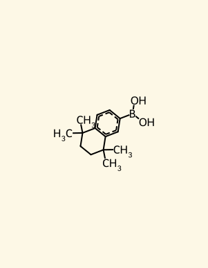 CC1(C)CCC(C)(C)c2cc(B(O)O)ccc21